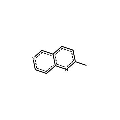 [CH2]c1ccc2cnccc2n1